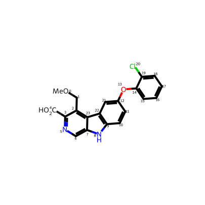 COCc1c(C(=O)O)ncc2[nH]c3ccc(Oc4ccccc4Cl)cc3c12